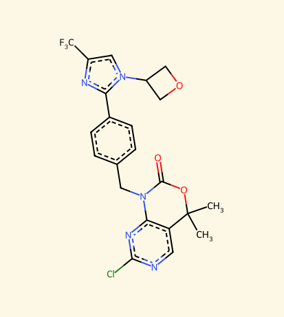 CC1(C)OC(=O)N(Cc2ccc(-c3nc(C(F)(F)F)cn3C3COC3)cc2)c2nc(Cl)ncc21